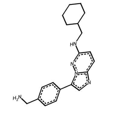 NCc1ccc(-c2cnc3ccc(NCC4CCCCC4)nn23)cc1